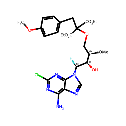 CCOC(=O)C(Cc1ccc(OC(F)(F)F)cc1)(OC[C@@H](OC)[C@@H](O)[C@H](F)n1cnc2c(N)nc(Cl)nc21)C(=O)OCC